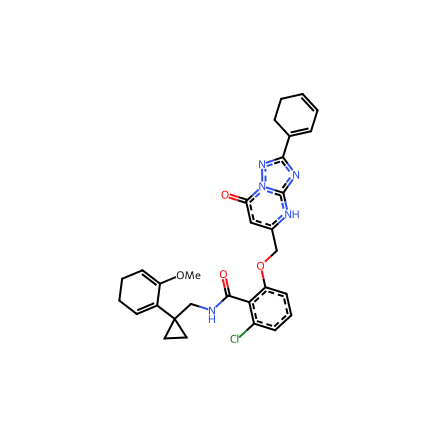 COC1=CCCC=C1C1(CNC(=O)c2c(Cl)cccc2OCc2cc(=O)n3nc(C4=CC=CCC4)nc3[nH]2)CC1